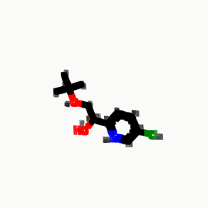 CC(C)(C)OC[C@H](O)c1ccc(Cl)cn1